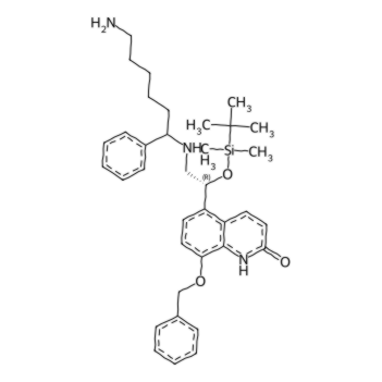 CC(C)(C)[Si](C)(C)O[C@@H](CNC(CCCCCN)c1ccccc1)c1ccc(OCc2ccccc2)c2[nH]c(=O)ccc12